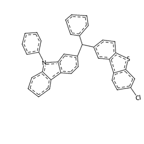 Clc1ccc2c(c1)sc1ccc(C(c3ccccc3)c3ccc4c5ccccc5n(-c5ccccc5)c4c3)cc12